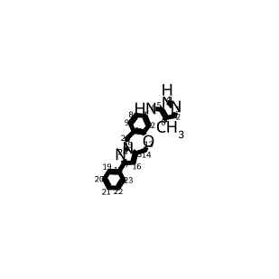 Cc1cn[nH]c1Nc1ccc2c(c1)OCc1cc(-c3ccccc3)nn1C2